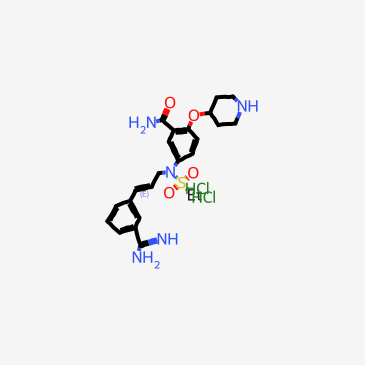 CCS(=O)(=O)N(C/C=C/c1cccc(C(=N)N)c1)c1ccc(OC2CCNCC2)c(C(N)=O)c1.Cl.Cl